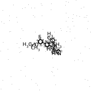 CC(C)COc1cc(F)cc(-c2ccc(C(=O)NS(=O)(=O)c3ccn[nH]3)c(N3[C@@H](C)CC[C@@H]3C)n2)c1